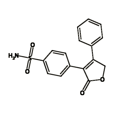 NS(=O)(=O)c1ccc(C2=C(c3ccccc3)COC2=O)cc1